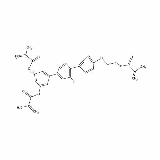 C=C(C)C(=O)OCCOc1ccc(-c2ccc(-c3cc(OC(=O)C(=C)C)cc(OC(=O)C(=C)C)c3)cc2F)cc1